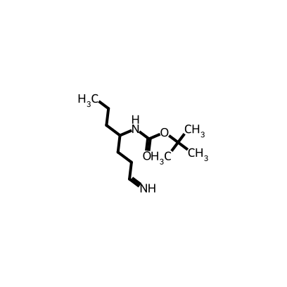 CCCC(CCC=N)NC(=O)OC(C)(C)C